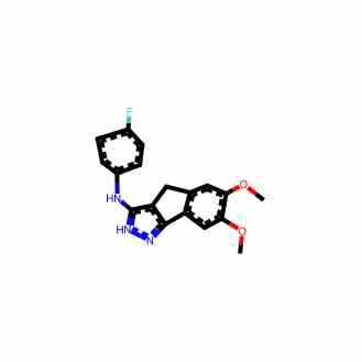 COc1cc2c(cc1OC)-c1n[nH]c(Nc3ccc(F)cc3)c1C2